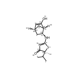 CC(C)[C@]1(C)SC(N[C@H]2C[C@@H]3C=C(O)[C@H]2C3)=NC1=O